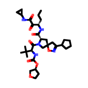 CCC[C@H](NC(=O)[C@@H]1C[C@]2(CC(C3CCCC3)=NO2)CN1C(=O)[C@@H](NC(=O)O[C@H]1CCOC1)C(C)(C)C)C(=O)C(=O)NC1CC1